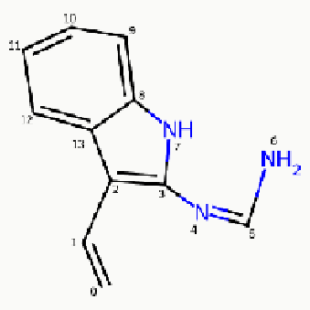 C=Cc1c(/N=C\N)[nH]c2ccccc12